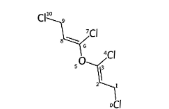 ClCC=C(Cl)OC(Cl)=CCCl